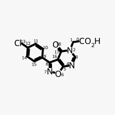 O=C(O)Cn1cnc2onc(-c3ccc(Cl)cc3)c2c1=O